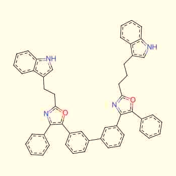 c1ccc(-c2nc(CCc3c[nH]c4ccccc34)oc2-c2cccc(-c3cccc(-c4nc(CCCc5c[nH]c6ccccc56)oc4-c4ccccc4)c3)c2)cc1